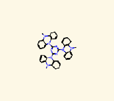 CN1C2=C(C=CCC2)N(c2nc(N3C4=C(CCC=C4)N(C)c4ccccc43)nc(N3C4=C(CCC=C4)N(C)c4ccccc43)n2)c2ccccc21